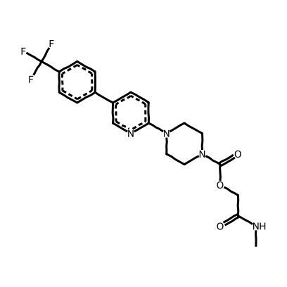 CNC(=O)COC(=O)N1CCN(c2ccc(-c3ccc(C(F)(F)F)cc3)cn2)CC1